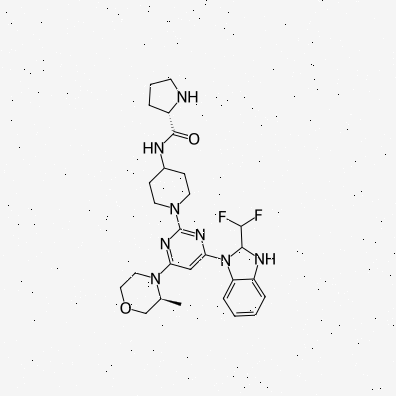 C[C@H]1COCCN1c1cc(N2c3ccccc3NC2C(F)F)nc(N2CCC(NC(=O)[C@@H]3CCCN3)CC2)n1